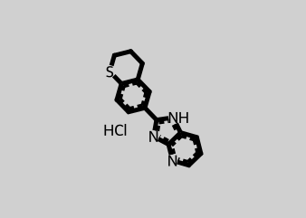 Cl.c1cnc2nc(-c3ccc4c(c3)CCCS4)[nH]c2c1